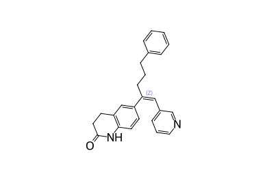 O=C1CCc2cc(/C(=C\c3cccnc3)CCCc3ccccc3)ccc2N1